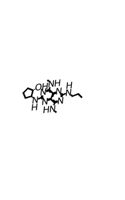 CCCNc1nc(NC)c2nc(N[C@H]3CCC[C@@H]3O)nc(NC)c2n1